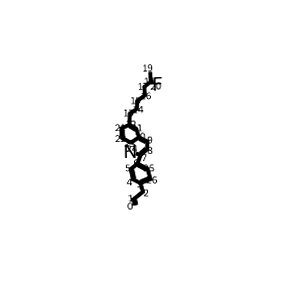 C=CCc1ccc(-c2ccc3cc(CCCCCC(C)F)ccc3n2)cc1